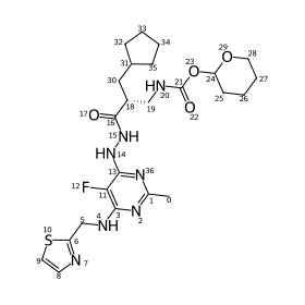 Cc1nc(NCc2nccs2)c(F)c(NNC(=O)[C@@H](CNC(=O)OC2CCCCO2)CC2CCCC2)n1